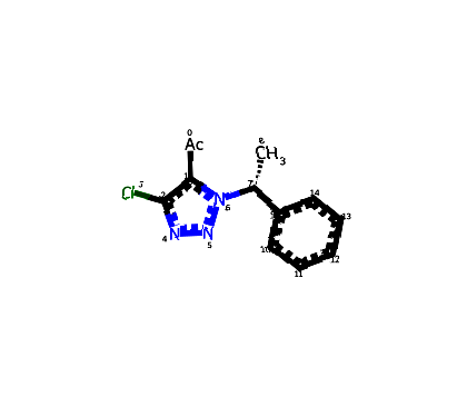 CC(=O)c1c(Cl)nnn1[C@H](C)c1ccccc1